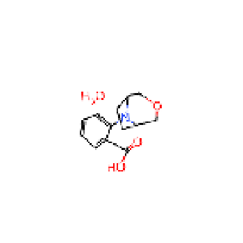 O.O=C(O)c1ccccc1N1C2CCC1COC2